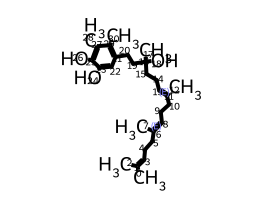 CC(C)=CCC/C(C)=C/CC/C(C)=C/CCC(C)(O)CCc1cc(O)c(O)c(C)c1C